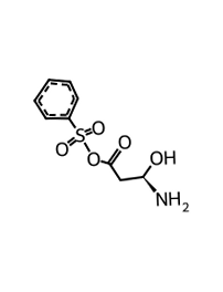 N[C@H](O)CC(=O)OS(=O)(=O)c1ccccc1